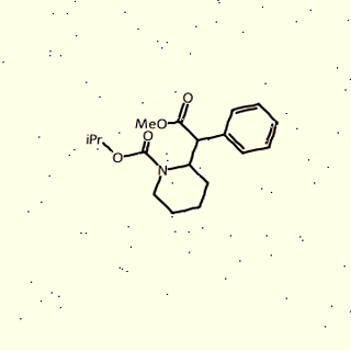 COC(=O)C(c1ccccc1)C1CCCCN1C(=O)OC(C)C